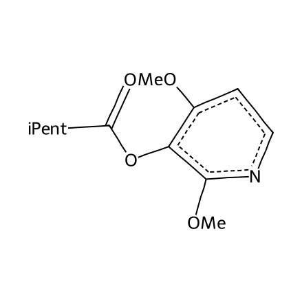 CCCC(C)C(=O)Oc1c(OC)ccnc1OC